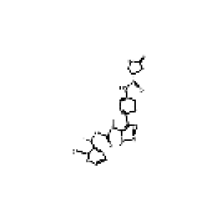 C[C@@H](OC(=O)Nc1c(-c2ccc(NC(=O)[C@@H]3CNC(=O)C3)cn2)nnn1C)c1cccnc1Cl